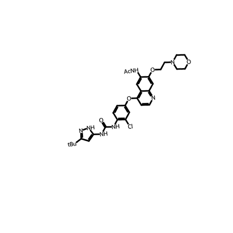 CC(=O)Nc1cc2c(Oc3ccc(NC(=O)Nc4cc(C(C)(C)C)n[nH]4)c(Cl)c3)ccnc2cc1OCCN1CCOCC1